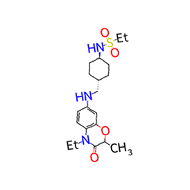 CCN1C(=O)C(C)Oc2cc(NC[C@H]3CC[C@H](NS(=O)(=O)CC)CC3)ccc21